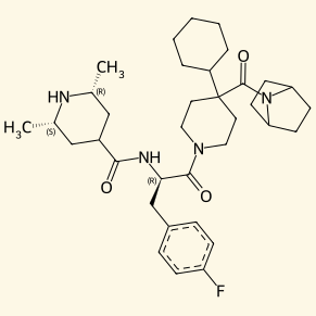 C[C@@H]1CC(C(=O)N[C@H](Cc2ccc(F)cc2)C(=O)N2CCC(C(=O)N3C4CCC3CC4)(C3CCCCC3)CC2)C[C@H](C)N1